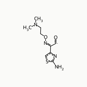 CN(C)CCON=C([C]=O)c1csc(N)n1